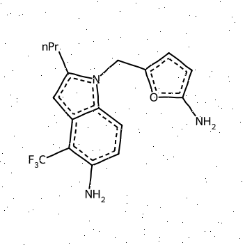 CCCc1cc2c(C(F)(F)F)c(N)ccc2n1Cc1ccc(N)o1